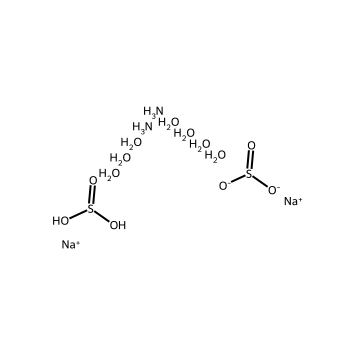 N.N.O.O.O.O.O.O.O.O=S(O)O.O=S([O-])[O-].[Na+].[Na+]